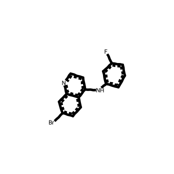 Fc1cccc(Nc2ccnc3cc(Br)ccc23)c1